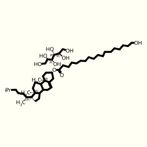 CC(C)CCC[C@@H](C)[C@H]1CCC2C3CC=C4CC(OC(=O)CCCCCCCCCCCCCCCCCO)CC[C@]4(C)C3CC[C@@]21C.OC[C@@H](O)[C@@H](O)[C@H](O)[C@@H](O)CO